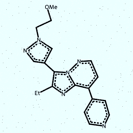 CCc1nc2c(-c3ccncc3)ccnn2c1-c1cnn(CCOC)c1